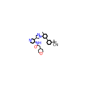 Cc1ccc(-c2cccc(C(C)(C)C#N)c2)cc1N1CC(c2cnccc2NC(=O)CC2CCOCC2)C=N1